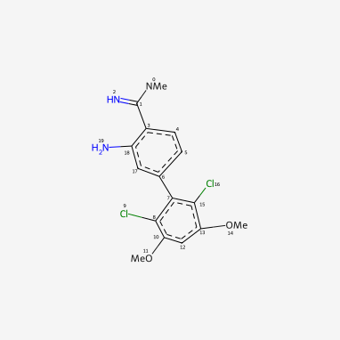 CNC(=N)c1ccc(-c2c(Cl)c(OC)cc(OC)c2Cl)cc1N